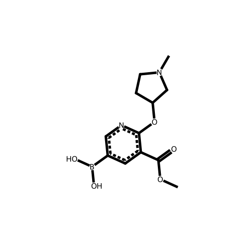 COC(=O)c1cc(B(O)O)cnc1OC1CCN(C)C1